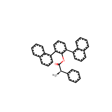 C[C@@H](C(=O)Oc1c(-c2cccc3ccccc23)cccc1-c1cccc2ccccc12)c1ccccc1